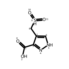 O=C(O)c1n[nH]cc1C[SH](=O)=O